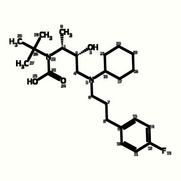 C[C@H]([C@H](O)CN(CCCc1ccc(F)cc1)C1CCCCC1)N(C(=O)O)C(C)(C)C